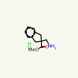 COC(=O)C1(CN)Cc2ccccc2C1.Cl